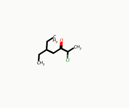 CCC(CC)CC(=O)C(C)Cl